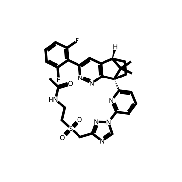 CC(=O)NCCS(=O)(=O)Cc1ncn(-c2cccc([C@]34CC[C@@H](c5cc(-c6c(F)cccc6F)nnc53)C4(C)C)n2)n1